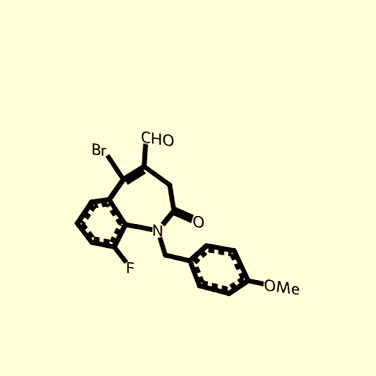 COc1ccc(CN2C(=O)CC(C=O)=C(Br)c3cccc(F)c32)cc1